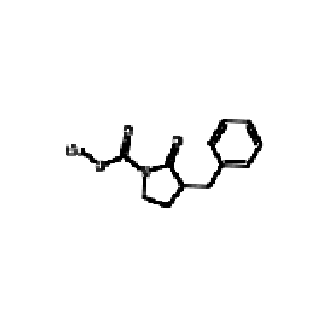 CC(C)(C)OC(=O)N1CCC(Cc2ccccc2)C1=O